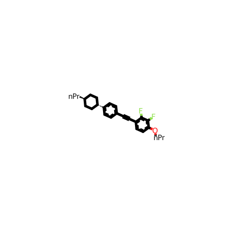 CCCOc1ccc(C#Cc2ccc([C@H]3CC[C@H](CCC)CC3)cc2)c(F)c1F